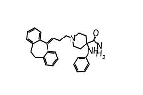 NC(=O)C1(Nc2ccccc2)CCN(CCC=C2c3ccccc3CCc3ccccc32)CC1